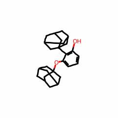 Oc1cccc(OC23CC4CC(CC(C4)C2)C3)c1C12CC3CC(CC(C3)C1)C2